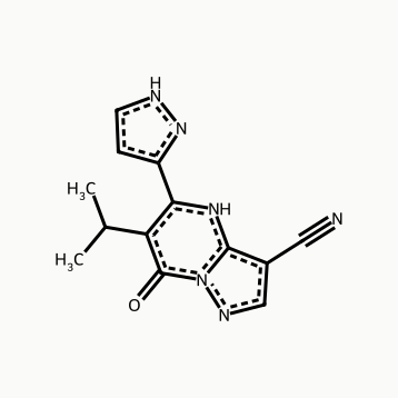 CC(C)c1c(-c2cc[nH]n2)[nH]c2c(C#N)cnn2c1=O